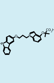 CC(C)(Oc1cccc2c1ccn2CCCOc1ccc2[nH]c3ccccc3c2c1)C(=O)O